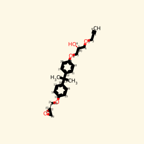 C#CCOC[C@@H](O)COc1ccc(C(C)(C)c2ccc(OC[C@@H]3CO3)cc2)cc1